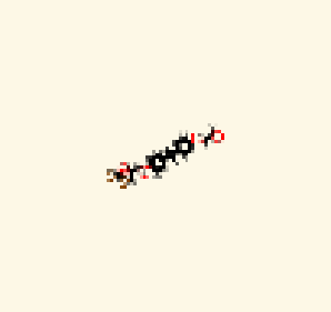 CC(C)(c1ccc(OCC2CO2)cc1)c1ccc(OCC2CSC(=S)O2)cc1